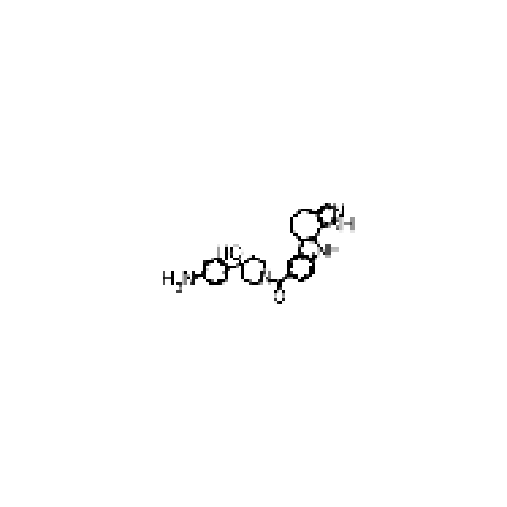 Nc1ccc(C2(O)CCN(C(=O)c3ccc4[nH]c5c(c4c3)CCCc3cn[nH]c3-5)CC2)cc1